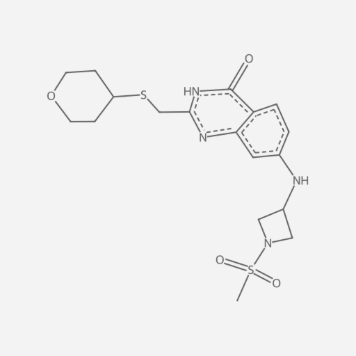 CS(=O)(=O)N1CC(Nc2ccc3c(=O)[nH]c(CSC4CCOCC4)nc3c2)C1